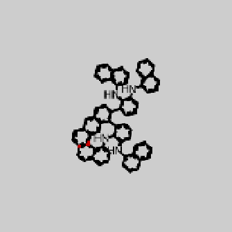 c1cc(Nc2cccc3ccccc23)c(Nc2cccc3ccccc23)c(-c2ccc3cc4ccccc4cc3c2-c2cccc(Nc3cccc4ccccc34)c2Nc2cccc3ccccc23)c1